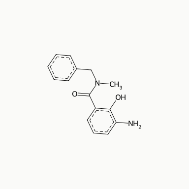 CN(Cc1ccccc1)C(=O)c1cccc(N)c1O